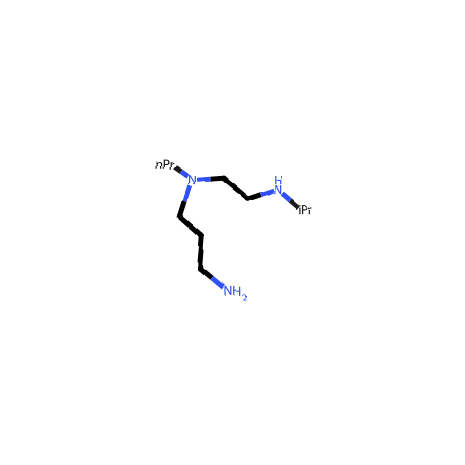 CCCN(CCCN)CCNC(C)C